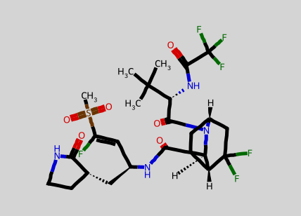 CC(C)(C)[C@H](NC(=O)C(F)(F)F)C(=O)N1[C@@H]2CC[C@H]([C@H]1C(=O)N[C@H](/C=C(\F)S(C)(=O)=O)C[C@@H]1CCNC1=O)C(F)(F)C2